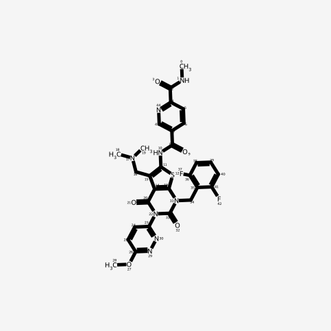 CNC(=O)c1ccc(C(=O)Nc2sc3c(c2CN(C)C)c(=O)n(-c2ccc(OC)nn2)c(=O)n3Cc2c(F)cccc2F)cn1